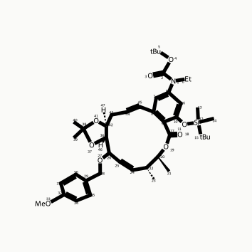 CCN(C(=O)OC(C)(C)C)c1cc2c(c(O[Si](C)(C)C(C)(C)C)c1)C(=O)O[C@@H](C)[C@H](C)/C=C\C(OCc1ccc(OC)cc1)[C@H]1OC(C)(C)O[C@H]1C/C=C/2